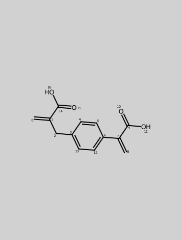 C=C(Cc1ccc(C(=C)C(=O)O)cc1)C(=O)O